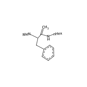 C=C(NCCCCCC)C(Cc1ccccc1)NC